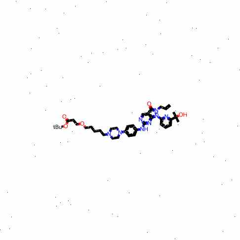 C=CCn1c(=O)c2cnc(Nc3ccc(N4CCN(CCCCCOCCC(=O)OC(C)(C)C)CC4)cc3)nc2n1-c1cccc(C(C)(C)O)n1